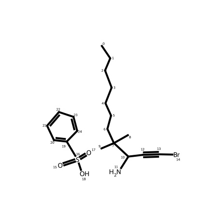 CCCCCCCC(C)(C)C(N)C#CBr.O=S(=O)(O)c1ccccc1